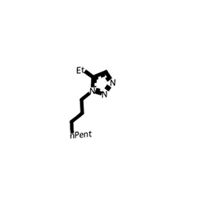 CCCCCCCCn1nncc1CC